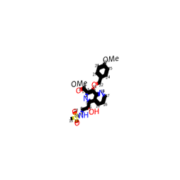 COC(=O)c1nc(C(O)CNS(C)(=O)=O)c2cccnc2c1OCc1ccc(OC)cc1